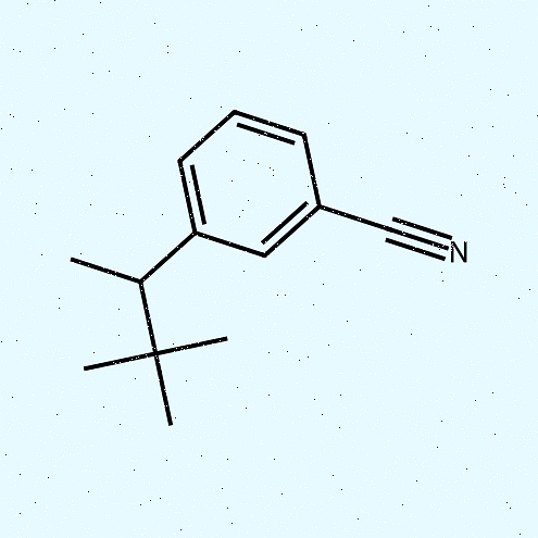 CC(c1cccc(C#N)c1)C(C)(C)C